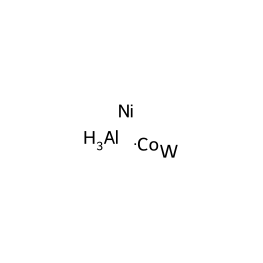 [AlH3].[Co].[Ni].[W]